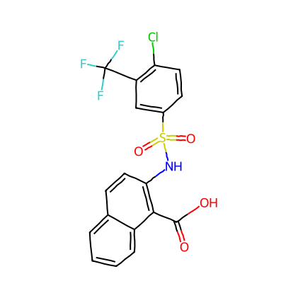 O=C(O)c1c(NS(=O)(=O)c2ccc(Cl)c(C(F)(F)F)c2)ccc2ccccc12